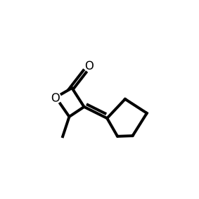 CC1OC(=O)C1=C1CCCC1